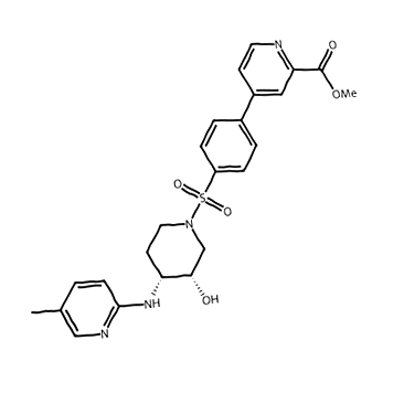 COC(=O)c1cc(-c2ccc(S(=O)(=O)N3CC[C@@H](Nc4ccc(C)cn4)[C@@H](O)C3)cc2)ccn1